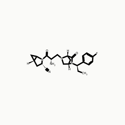 CC[C@H](c1ccc(F)cc1)N1C(=O)[C@@H]2C[C@H]1CN2C[C@H](N)C(=O)N1C2C[C@H]2C[C@H]1C#N